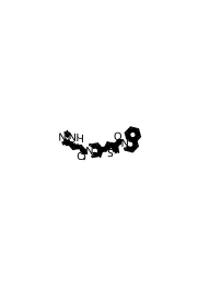 O=C(CCc1cnc[nH]1)N1CCC(c2cc(C(=O)N3CCCC4CCCCC43)cs2)CC1